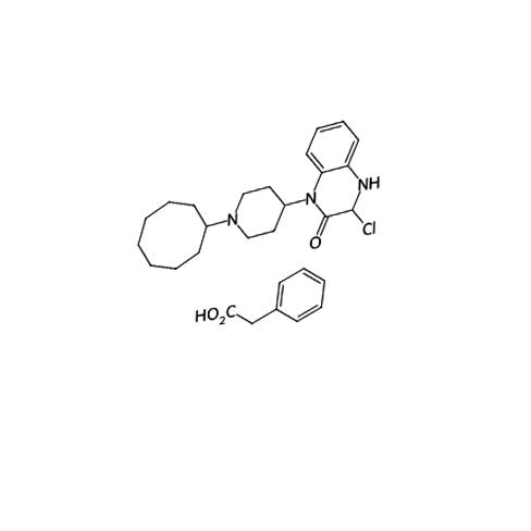 O=C(O)Cc1ccccc1.O=C1C(Cl)Nc2ccccc2N1C1CCN(C2CCCCCCC2)CC1